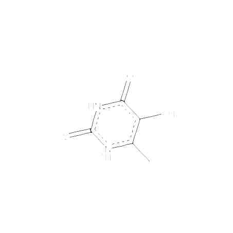 CCCc1c(C)[nH]c(=S)[nH]c1=O